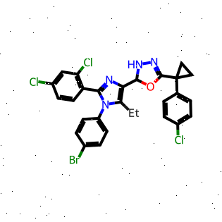 CCc1c(C2NN=C(C3(c4ccc(Cl)cc4)CC3)O2)nc(-c2ccc(Cl)cc2Cl)n1-c1ccc(Br)cc1